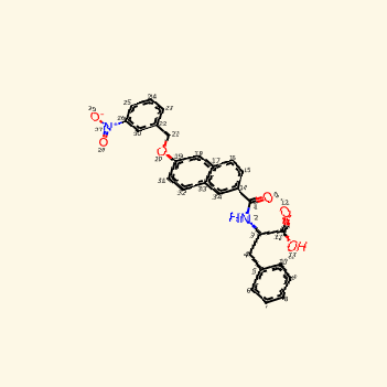 O=C(NC(Cc1ccccc1)C(=O)O)c1ccc2cc(OCc3cccc([N+](=O)[O-])c3)ccc2c1